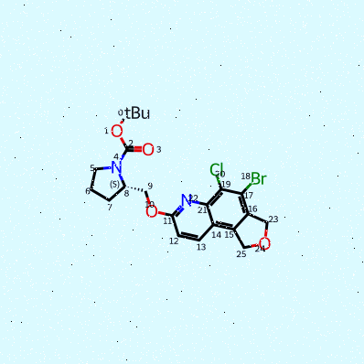 CC(C)(C)OC(=O)N1CCC[C@H]1COc1ccc2c3c(c(Br)c(Cl)c2n1)COC3